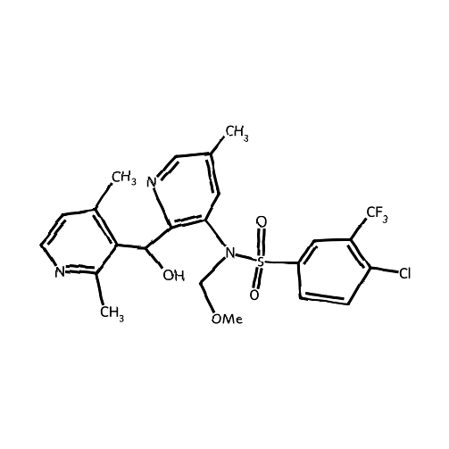 COCN(c1cc(C)cnc1C(O)c1c(C)ccnc1C)S(=O)(=O)c1ccc(Cl)c(C(F)(F)F)c1